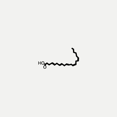 CCCCC/C=C\C/C=C\C/C=C/C/C=C/C/C=C/CCC(=O)O